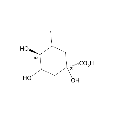 CC1C[C@](O)(C(=O)O)CC(O)[C@H]1O